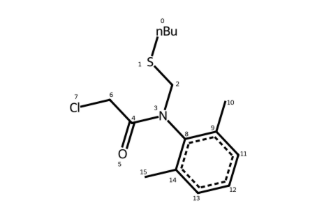 CCCCSCN(C(=O)CCl)c1c(C)cccc1C